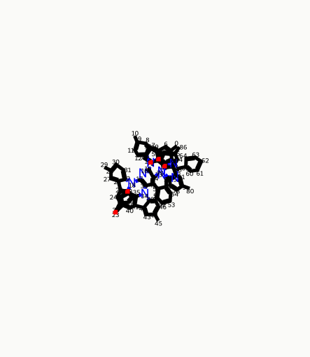 Cc1ccc2c(c1)c1cc(C)ccc1n2-c1nc(-n2c3ccc(C)cc3c3cc(C)ccc32)c(-n2c3ccc(C)cc3c3cc(C)ccc32)c(-c2ccccc2-c2nc(-c3ccccc3)nc(-c3ccccc3)n2)c1-n1c2ccc(C)cc2c2cc(C)ccc21